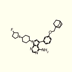 Nc1ncnc2c1c(-c1cccc(OCC34CCC(CC3)O4)c1)cn2C1CCC(N2CCC(F)C2)CC1